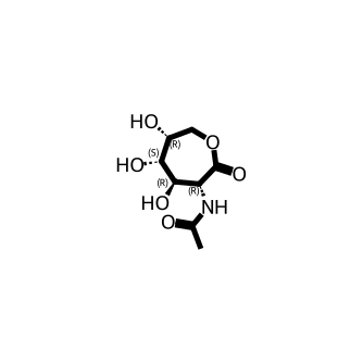 CC(=O)N[C@H]1C(=O)OC[C@@H](O)[C@@H](O)[C@@H]1O